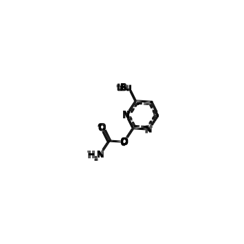 CC(C)(C)c1ccnc(OC(N)=O)n1